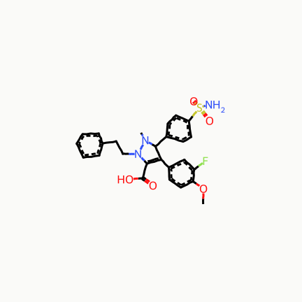 COc1ccc(C2=C(C(=O)O)N(CCc3ccccc3)N(C)C2c2ccc(S(N)(=O)=O)cc2)cc1F